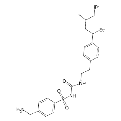 C[CH]C(CC(C)CC(C)C)c1ccc(CCNC(=O)NS(=O)(=O)c2ccc(CN)cc2)cc1